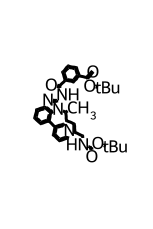 CC(CCCCNC(=O)OC(C)(C)C)n1c(NC(=O)c2cccc(C(=O)OC(C)(C)C)c2)nc2cccc(-c3cccnc3)c21